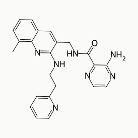 Cc1cccc2cc(CNC(=O)c3nccnc3N)c(NCCc3ccccn3)nc12